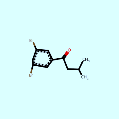 CC(C)CC(=O)c1cc(Br)cc(Br)c1